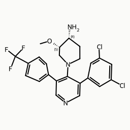 CO[C@H]1CN(c2c(-c3ccc(C(F)(F)F)cc3)cncc2-c2cc(Cl)cc(Cl)c2)CC[C@H]1N